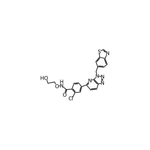 O=C(NOCCO)c1ccc(-c2ccc3nnn(Cc4ccc5ncsc5c4)c3n2)cc1Cl